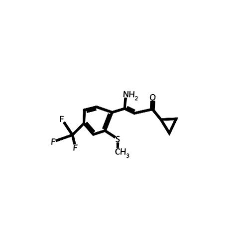 CSc1cc(C(F)(F)F)ccc1C(N)=CC(=O)C1CC1